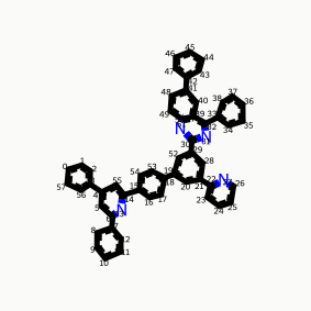 c1ccc(-c2cc(-c3ccccc3)nc(-c3ccc(-c4cc(-c5ccccn5)cc(-c5nc(-c6ccccc6)c6cc(-c7ccccc7)ccc6n5)c4)cc3)c2)cc1